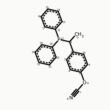 CC(c1ccc(OC#N)cc1)P(c1ccccc1)c1ccccc1